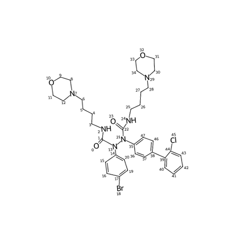 O=C(NCCCCN1CCOCC1)N(c1ccc(Br)cc1)N(C(=O)NCCCCN1CCOCC1)c1ccc(-c2ccccc2Cl)cc1